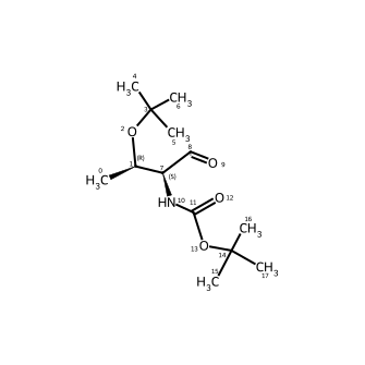 C[C@@H](OC(C)(C)C)[C@@H]([C]=O)NC(=O)OC(C)(C)C